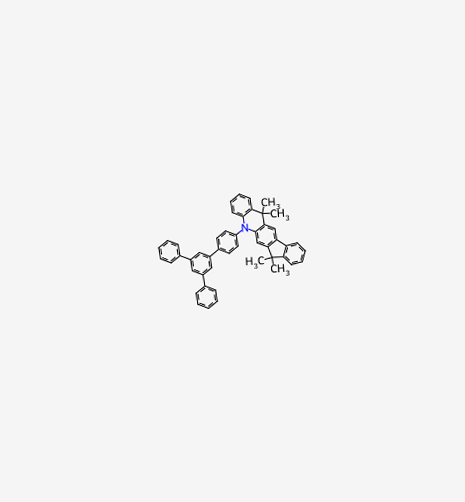 CC1(C)c2ccccc2-c2cc3c(cc21)N(c1ccc(-c2cc(-c4ccccc4)cc(-c4ccccc4)c2)cc1)c1ccccc1C3(C)C